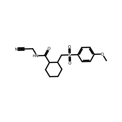 COc1ccc(S(=O)(=O)CC2CCCCC2C(=O)NCC#N)cc1